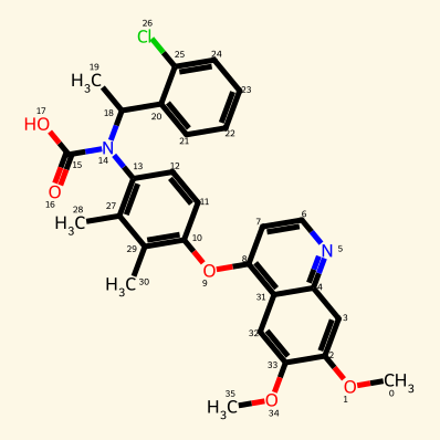 COc1cc2nccc(Oc3ccc(N(C(=O)O)C(C)c4ccccc4Cl)c(C)c3C)c2cc1OC